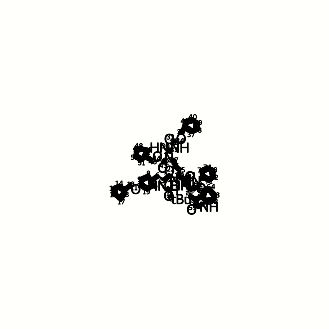 CC(C)(C)OC(=O)N[C@@H](Cc1ccc(OCc2ccccc2)cc1)C(=O)N[C@@H](CCCN(C(=N)NC(=O)OCc1ccccc1)C(=O)OCc1ccccc1)C(=O)N[C@@H](CC1C(=O)Nc2ccccc21)C(=O)Nc1ccccc1